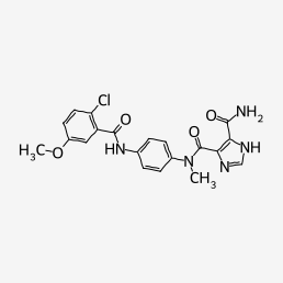 COc1ccc(Cl)c(C(=O)Nc2ccc(N(C)C(=O)c3nc[nH]c3C(N)=O)cc2)c1